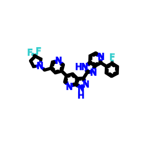 Fc1ccccc1-c1nccc2[nH]c(-c3n[nH]c4ncc(-c5cncc(CN6CCC(F)(F)C6)c5)cc34)nc12